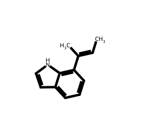 C/C=C(\C)c1cccc2cc[nH]c12